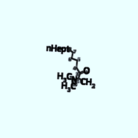 [CH2]C(C(=O)CCCCCCCCCCC)N(C)C